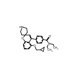 CCN(CC)C(=O)c1ccc(C2=CC3(CCNCC3)Oc3cccc(OCC4CC4)c32)cc1